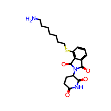 NCCCCCCCSc1cccc2c1C(=O)N(C1CCC(=O)NC1=O)C2=O